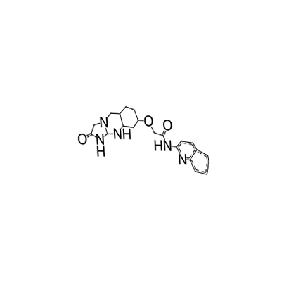 O=C(COC1CCC2CN3CC(=O)NC3NC2C1)Nc1ccc2ccccc2n1